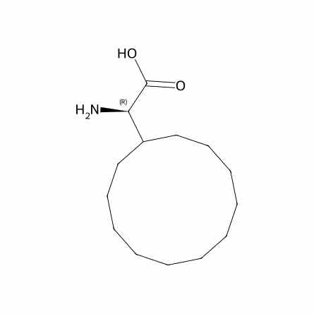 N[C@@H](C(=O)O)C1CCCCCCCCCCC1